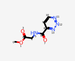 COC(=O)CNC(=O)c1ccnnn1